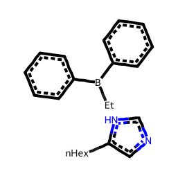 CCB(c1ccccc1)c1ccccc1.CCCCCCc1cnc[nH]1